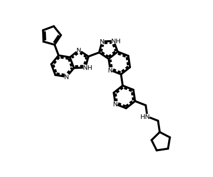 C1=CC(c2ccnc3[nH]c(-c4n[nH]c5ccc(-c6cncc(CNCC7CCCC7)c6)nc45)nc23)=CC1